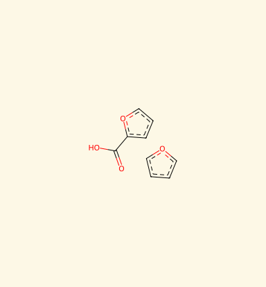 O=C(O)c1ccco1.c1ccoc1